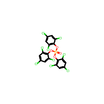 O=P(Oc1c(Cl)cc(Cl)cc1Cl)(Oc1c(Cl)cc(Cl)cc1Cl)Oc1c(Cl)cc(Cl)cc1Cl